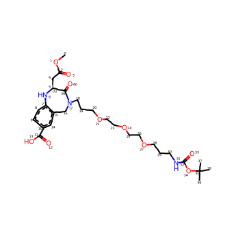 COC(=O)C[C@@H]1Nc2ccc(C(=O)O)cc2CN(CCCOCCOCCOCCCNC(=O)OC(C)(C)C)C1=O